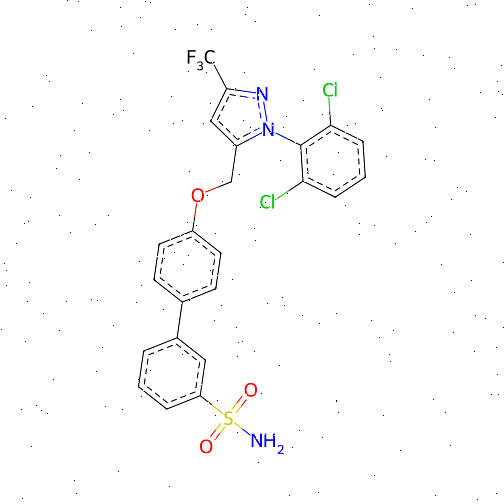 NS(=O)(=O)c1cccc(-c2ccc(OCc3cc(C(F)(F)F)nn3-c3c(Cl)cccc3Cl)cc2)c1